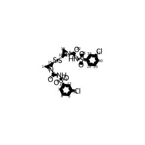 O=C(NS(=O)(=O)c1cccc(Cl)c1)N1CC1SSC1CN1C(=O)NS(=O)(=O)c1cccc(Cl)c1